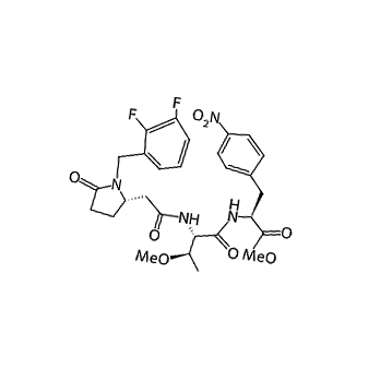 COC(=O)[C@H](Cc1ccc([N+](=O)[O-])cc1)NC(=O)[C@@H](NC(=O)C[C@@H]1CCC(=O)N1Cc1cccc(F)c1F)[C@@H](C)OC